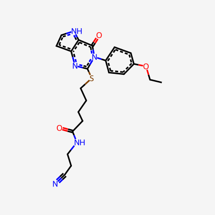 CCOc1ccc(-n2c(SCCCCC(=O)NCCC#N)nc3cc[nH]c3c2=O)cc1